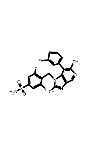 Cc1ncc2nc(C)n(Cc3c(F)cc(S(N)(=O)=O)cc3F)c2c1-c1cccc(F)c1